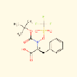 CC(C)(C)OC(=O)N(OS(=O)(=O)C(F)(F)F)[C@@H](Cc1ccccc1)C(=O)O